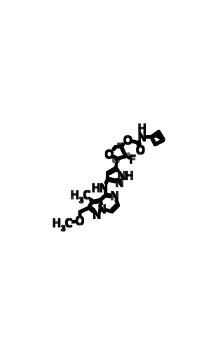 COCc1nn2ccnc(Nc3cc([C@H]4OC[C@@H](OC(=O)NC56CC(C5)C6)[C@H]4F)[nH]n3)c2c1C